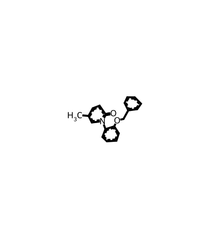 Cc1ccc(=O)n(-c2ccccc2OCc2ccccc2)c1